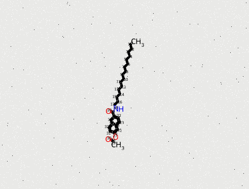 CCCCCCCCCCCCCCCCCCNC(=O)c1ccc2cc(OC(C)=O)ccc2c1